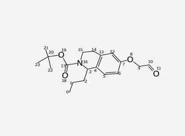 CCCC1c2ccc(OCC=O)cc2CCN1C(=O)OC(C)(C)C